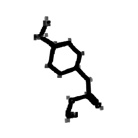 CCNC1CCC(CC(=O)OC(C)(C)C)CC1